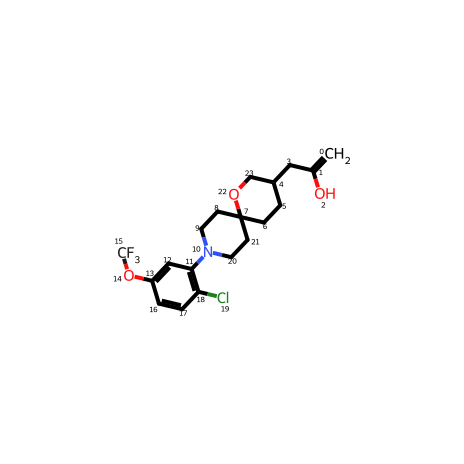 C=C(O)CC1CCC2(CCN(c3cc(OC(F)(F)F)ccc3Cl)CC2)OC1